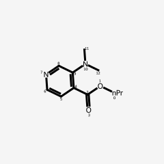 CCCOC(=O)c1ccncc1N(C)C